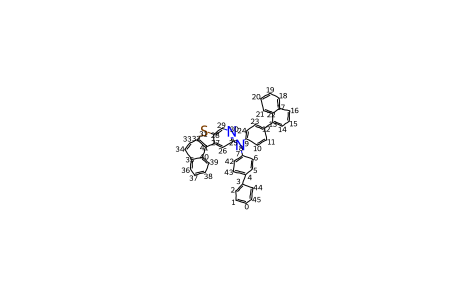 c1ccc(-c2ccc(N(c3ccc(-c4cccc5ccccc45)cc3)c3cc4c(cn3)sc3ccc5ccccc5c34)cc2)cc1